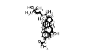 CC(=O)O[C@H]1CC[C@@]2(C)[C@H](C1)C(O)C[C@@H]1[C@@H]2CC[C@]2(C)[C@@H](C(C)CCCC(C)(C)O)CC[C@@H]12